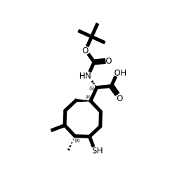 CC1CC[C@@H]([C@H](NC(=O)OC(C)(C)C)C(=O)O)CCC(S)[C@@H]1C